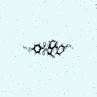 Cc1ccc(S(=O)(=O)n2cc(Br)c3c(N4CCC[C@H](C)C4)ncnc32)cc1